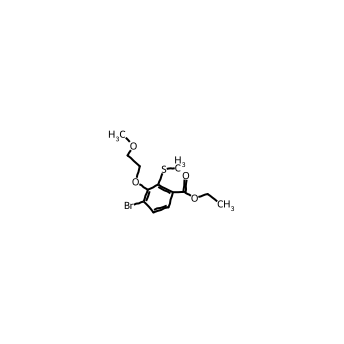 CCOC(=O)c1ccc(Br)c(OCCOC)c1SC